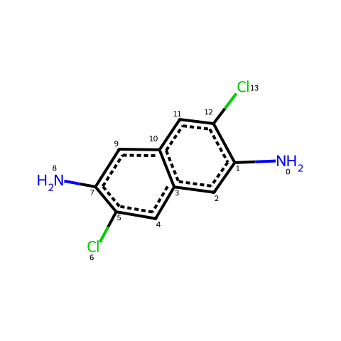 Nc1cc2cc(Cl)c(N)cc2cc1Cl